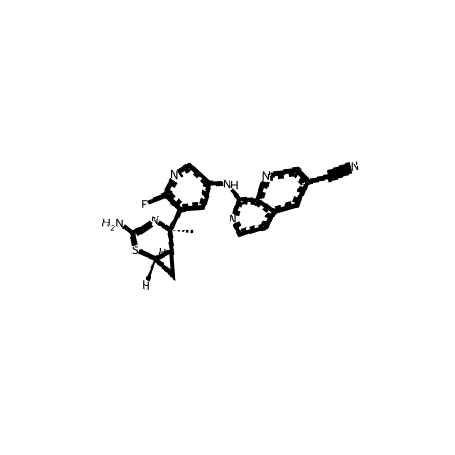 C[C@@]1(c2cc(Nc3nccc4cc(C#N)cnc34)cnc2F)N=C(N)S[C@H]2C[C@H]21